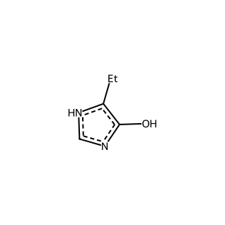 CCc1[nH]cnc1O